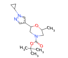 CC1CN(C(=O)OC(C)(C)C)CC(c2cnn(C3CC3)c2)O1